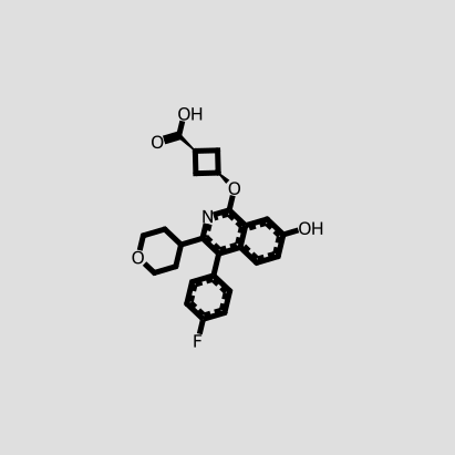 O=C(O)[C@H]1C[C@@H](Oc2nc(C3CCOCC3)c(-c3ccc(F)cc3)c3ccc(O)cc23)C1